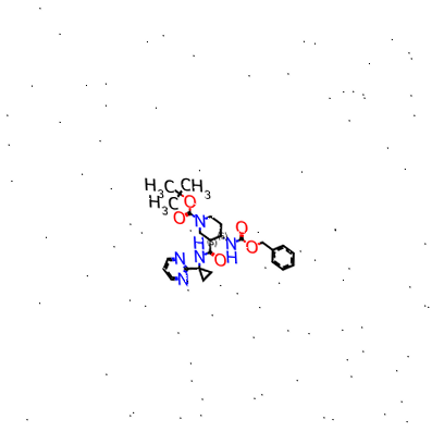 CC(C)(C)OC(=O)N1CC[C@H](NC(=O)OCc2ccccc2)[C@@H](C(=O)NC2(c3ncccn3)CC2)C1